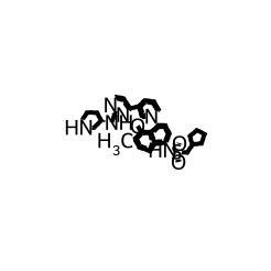 Cc1ccc2c(NS(=O)(=O)CC3CCCC3)cccc2c1Oc1ncccc1-c1ccnc(N[C@H]2CCCNC2)n1